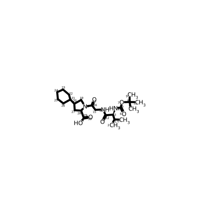 CC(C)[C@H](NC(=O)OC(C)(C)C)C(=O)NCC(=O)N1CC(C2CCCCC2)CC1C(=O)O